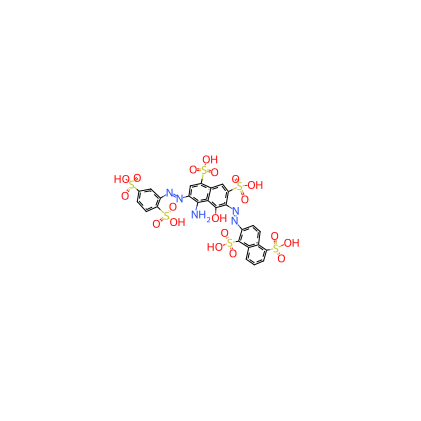 Nc1c(N=Nc2cc(S(=O)(=O)O)ccc2S(=O)(=O)O)cc(S(=O)(=O)O)c2cc(S(=O)(=O)O)c(N=Nc3ccc4c(S(=O)(=O)O)cccc4c3S(=O)(=O)O)c(O)c12